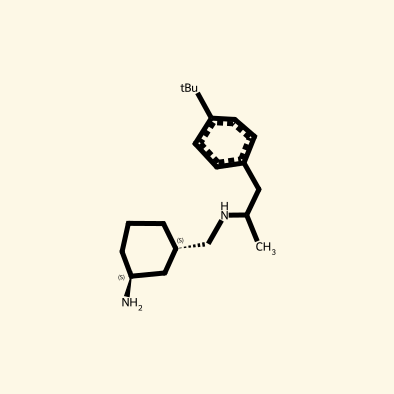 CC(Cc1ccc(C(C)(C)C)cc1)NC[C@H]1CCC[C@H](N)C1